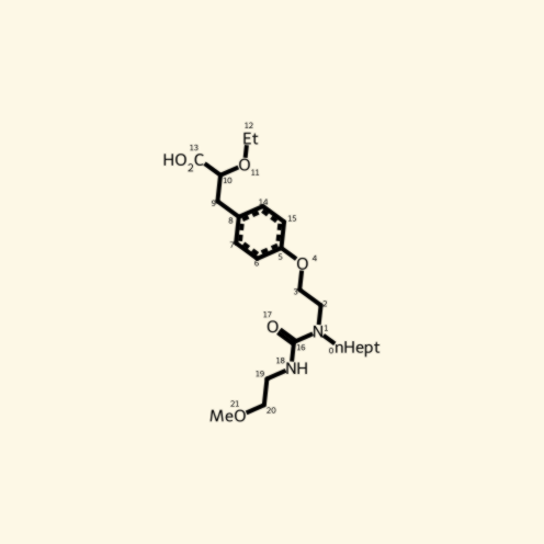 CCCCCCCN(CCOc1ccc(CC(OCC)C(=O)O)cc1)C(=O)NCCOC